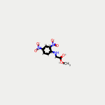 COC(=O)CNc1ccc([N+](=O)[O-])cc1[N+](=O)[O-]